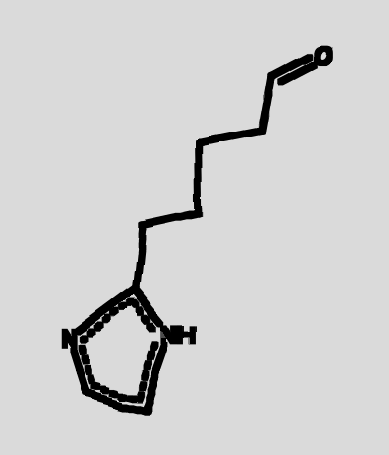 O=CCCCCc1ncc[nH]1